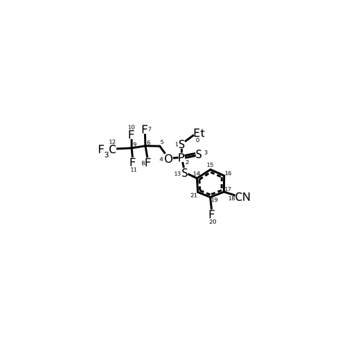 CCSP(=S)(OCC(F)(F)C(F)(F)C(F)(F)F)Sc1ccc(C#N)c(F)c1